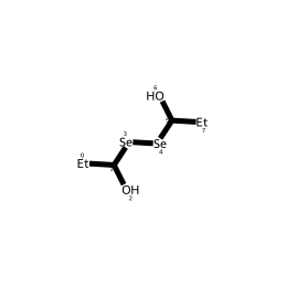 CCC(O)[Se][Se]C(O)CC